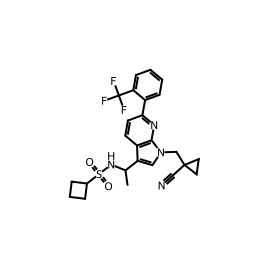 CC(NS(=O)(=O)C1CCC1)c1cn(CC2(C#N)CC2)c2nc(-c3ccccc3C(F)(F)F)ccc12